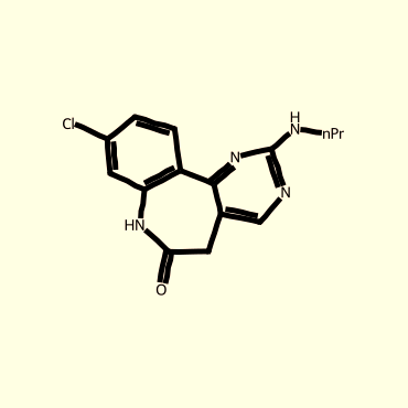 CCCNc1ncc2c(n1)-c1ccc(Cl)cc1NC(=O)C2